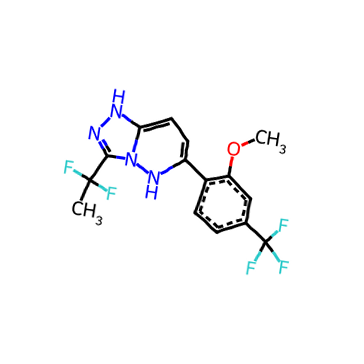 COc1cc(C(F)(F)F)ccc1C1=CC=C2NN=C(C(C)(F)F)N2N1